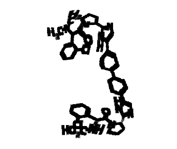 CN(C)[C@@H](C(=O)N1CCC[C@H]1c1ncc(-c2ccc(-c3ccc(-c4cnc([C@@H]5CCCN5C(=O)[C@H](NC(=O)O)c5ccccc5Cl)[nH]4)cc3)cc2)[nH]1)c1ccccc1Cl